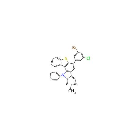 Cc1ccc2c3cc(-c4cc(Cl)cc(Br)c4)c4sc5ccccc5c4c3n(-c3ccccc3)c2c1